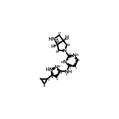 c1cc(Nc2cc(C3CC3)[nH]n2)nc(N2C[C@@H]3CN[C@@H]3C2)n1